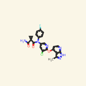 Cc1n[nH]c2nccc(Oc3ncc(N(C(=O)C4(C(N)=O)CC4)c4ccc(F)cc4)cc3Cl)c12